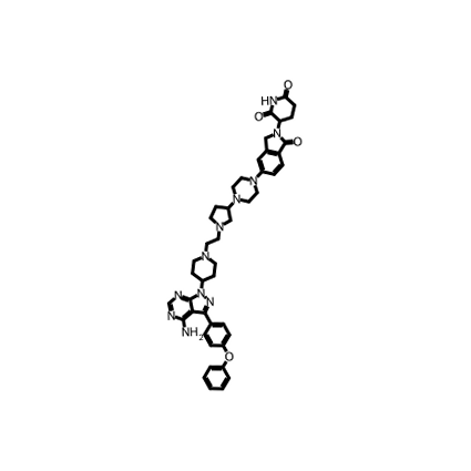 Nc1ncnc2c1c(-c1ccc(Oc3ccccc3)cc1)nn2C1CCN(CCN2CCC(N3CCN(c4ccc5c(c4)CN(C4CCC(=O)NC4=O)C5=O)CC3)C2)CC1